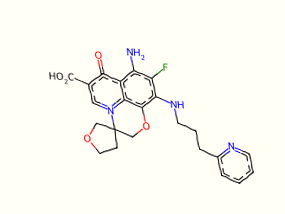 Nc1c(F)c(NCCCc2ccccn2)c2c3c1c(=O)c(C(=O)O)cn3C1(CCOC1)CO2